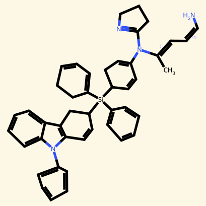 C/C(=C\C=C/N)N(C1=CCC([Si](C2=CC=CCC2)(c2ccccc2)C2C=Cc3c(c4ccccc4n3-c3ccccc3)C2)C=C1)C1=NCCC1